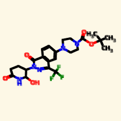 CC(C)(C)OC(=O)N1CCN(c2ccc3c(=O)n(C4CCC(=O)NC4O)nc(C(F)(F)F)c3c2)CC1